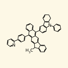 CC1c2ccccc2-c2cc3c(-c4ccc5c(c4)c4c(n5-c5ccccc5)CCC=C4)c4ccccc4c(-c4ccc(-c5ccccn5)cc4)c3cc21